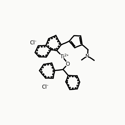 CN(C)CC1=CCC(c2ccc3ccccc3[c]2[Ti+2][O]C(c2ccccc2)c2ccccc2)=C1.[Cl-].[Cl-]